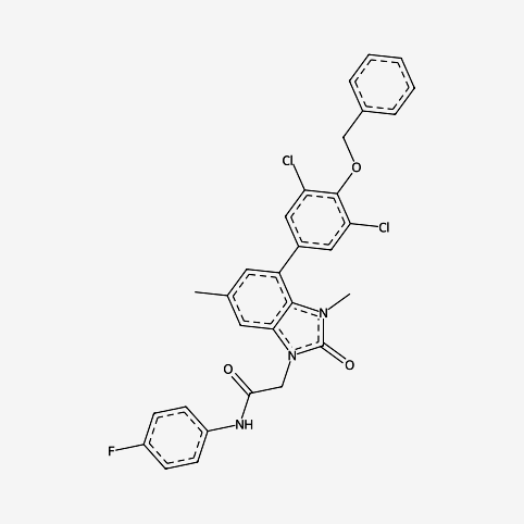 Cc1cc(-c2cc(Cl)c(OCc3ccccc3)c(Cl)c2)c2c(c1)n(CC(=O)Nc1ccc(F)cc1)c(=O)n2C